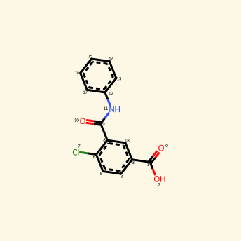 O=C(O)c1ccc(Cl)c(C(=O)Nc2ccccc2)c1